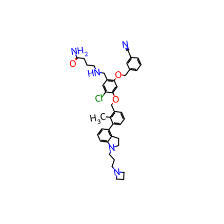 Cc1c(COc2cc(OCc3cccc(C#N)c3)c(CNCCCC(N)=O)cc2Cl)cccc1-c1cccc2c1CCN2CCCN1CCC1